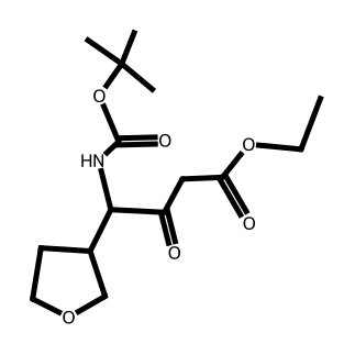 CCOC(=O)CC(=O)C(NC(=O)OC(C)(C)C)C1CCOC1